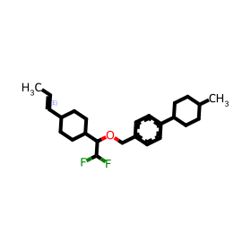 C/C=C/C1CCC(C(OCc2ccc(C3CCC(C)CC3)cc2)C(F)F)CC1